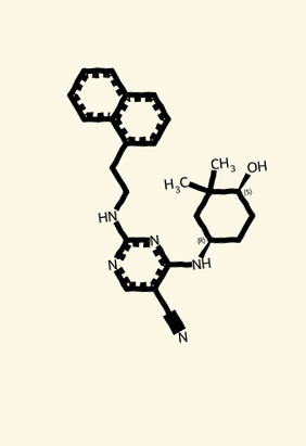 CC1(C)C[C@H](Nc2nc(NCCc3cccc4ccccc34)ncc2C#N)CC[C@@H]1O